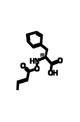 CC=CC(=O)ON[C@@H](Cc1ccccc1)C(=O)O